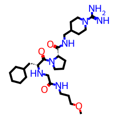 COCCCNC(=O)CN[C@H](CC1CCCCC1)C(=O)N1CCC[C@H]1C(=O)NCC1CCN(C(=N)N)CC1